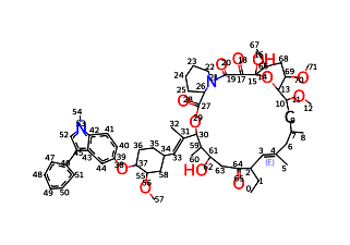 CCC1/C=C(\C)CC(C)CC(OC)C2OC(O)(C(=O)C(=O)N3CCCCC3C(=O)OC(C(C)=CC3CCC(Oc4ccc5c(c4)c(-c4ccccc4)cn5C)C(OC)C3)C(C)C(O)CC1=O)C(C)CC2OC